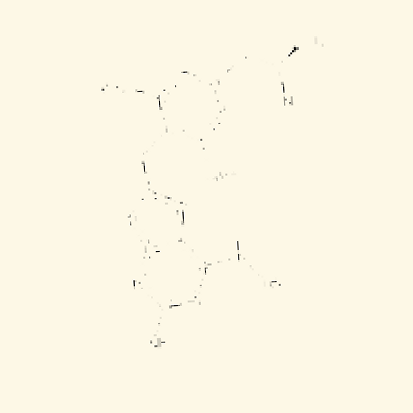 CCCCNc1nc(N)nc2cn(Cc3c(OC)cc(C[C@@H](C)N)cc3OC)nc12